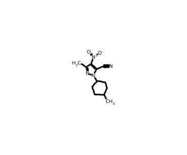 Cc1nn(C2CCC(C)CC2)c(C#N)c1[N+](=O)[O-]